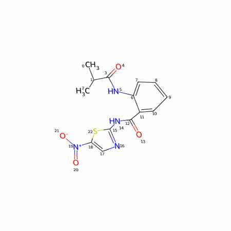 CC(C)C(=O)Nc1ccccc1C(=O)Nc1ncc([N+](=O)[O-])s1